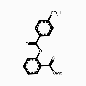 COC(=O)c1ccccc1OC(=O)c1ccc(C(=O)O)cc1